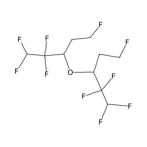 FCCC(OC(CCF)C(F)(F)C(F)F)C(F)(F)C(F)F